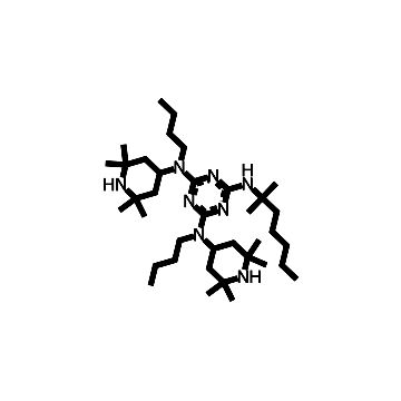 CCCCCC(C)(C)Nc1nc(N(CCCC)C2CC(C)(C)NC(C)(C)C2)nc(N(CCCC)C2CC(C)(C)NC(C)(C)C2)n1